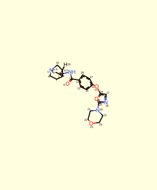 O=C(N[C@H]1CN2CCC1CC2)c1ccc(Oc2cnc(N3CCOCC3)o2)cc1